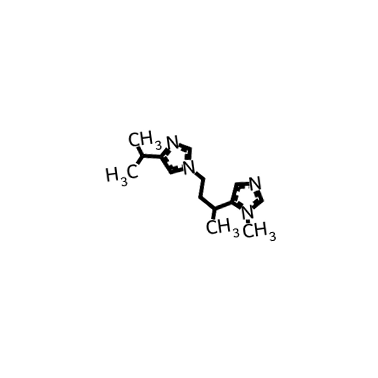 CC(C)c1cn(CCC(C)c2cncn2C)cn1